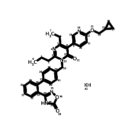 CCCc1nc(CC)c(-c2ccc(OCC3CC3)nc2)c(=O)n1Cc1ccc(-c2ccccc2-c2noc(=O)[nH]2)cc1.[KH]